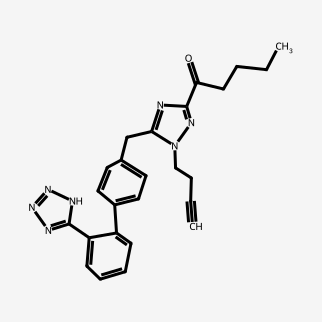 C#CCCn1nc(C(=O)CCCC)nc1Cc1ccc(-c2ccccc2-c2nnn[nH]2)cc1